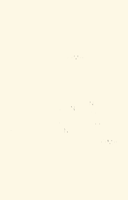 COC(=O)C[C@H](NC(=O)c1ccc(Cl)cc1)c1nc(-c2ccc(OC)cc2)no1